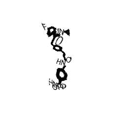 O=C(C=Cc1ccc(C=C(C(=O)NC2CC2)c2ccc(F)cc2)cc1)NCc1ccc(C(=O)NO)cc1